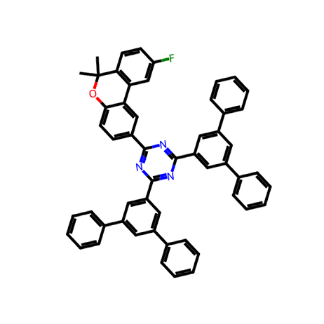 CC1(C)Oc2ccc(-c3nc(-c4cc(-c5ccccc5)cc(-c5ccccc5)c4)nc(-c4cc(-c5ccccc5)cc(-c5ccccc5)c4)n3)cc2-c2cc(F)ccc21